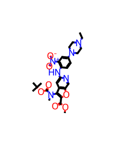 CCN1CCN(c2ccc(Nc3cc4c(N(C)C(=O)OC(C)(C)C)c(C(=O)OC)oc4cn3)c([N+](=O)[O-])c2)CC1